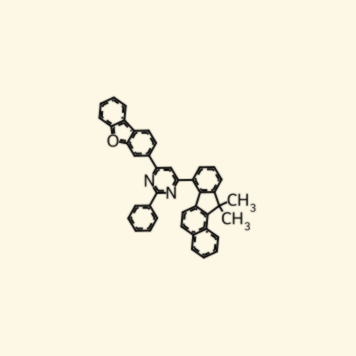 CC1(C)c2cccc(-c3cc(-c4ccc5c(c4)oc4ccccc45)nc(-c4ccccc4)n3)c2-c2ccc3ccccc3c21